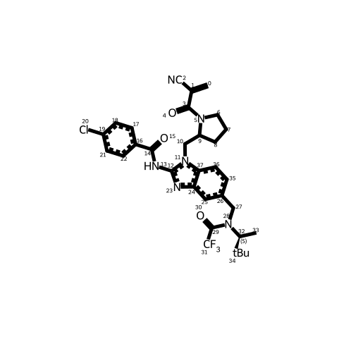 C=C(C#N)C(=O)N1CCCC1Cn1c(NC(=O)c2ccc(Cl)cc2)nc2cc(CN(C(=O)C(F)(F)F)[C@@H](C)C(C)(C)C)ccc21